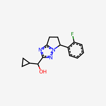 OC(c1nc2n(n1)C(c1ccccc1F)CC2)C1CC1